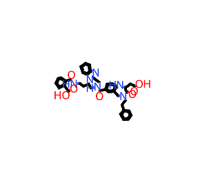 O=C(O)CC1Nc2ccc(C(=O)N(CCCCNC(=O)c3ccccc3C(=O)O)Cc3nc4ccccc4[nH]3)cc2CN(CCc2ccccc2)C1=O